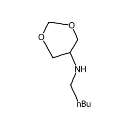 CCCCCNC1COCOC1